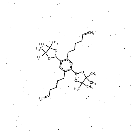 C=CCCCCc1cc(B2OC(C)(C)C(C)(C)O2)c(CCCCC=C)cc1B1OC(C)(C)C(C)(C)O1